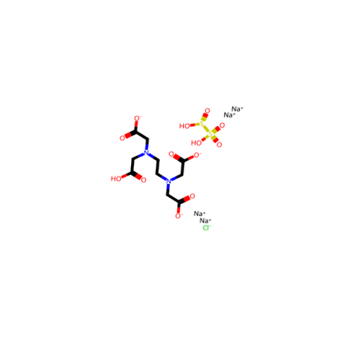 O=C([O-])CN(CCN(CC(=O)[O-])CC(=O)O)CC(=O)[O-].O=S(O)S(=O)(=O)O.[Cl-].[Na+].[Na+].[Na+].[Na+]